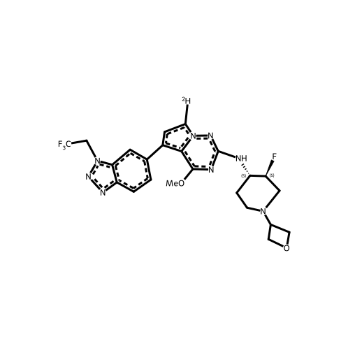 [2H]c1cc(-c2ccc3nnn(CC(F)(F)F)c3c2)c2c(OC)nc(N[C@H]3CCN(C4COC4)C[C@@H]3F)nn12